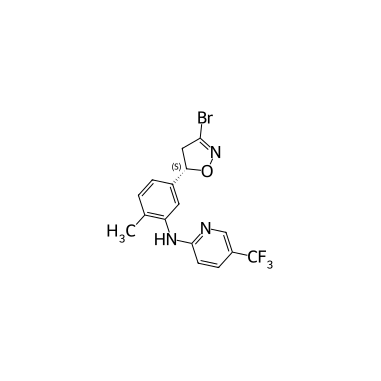 Cc1ccc([C@@H]2CC(Br)=NO2)cc1Nc1ccc(C(F)(F)F)cn1